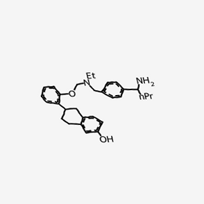 CCCC(N)c1ccc(CN(CC)COc2ccccc2C2CCc3cc(O)ccc3C2)cc1